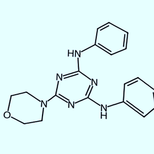 c1ccc(Nc2nc(Nc3ccccc3)nc(N3CCOCC3)n2)cc1